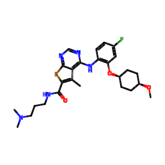 CO[C@H]1CC[C@@H](Oc2cc(F)ccc2Nc2ncnc3sc(C(=O)NCCCN(C)C)c(C)c23)CC1